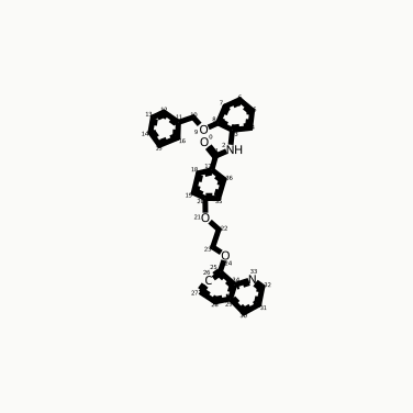 O=C(Nc1ccccc1OCc1ccccc1)c1ccc(OCCOc2cccc3cccnc23)cc1